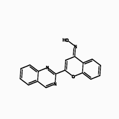 ON=c1cc(-c2ncc3ccccc3n2)oc2ccccc12